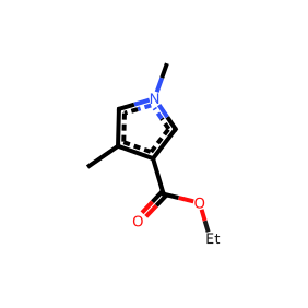 CCOC(=O)c1cn(C)cc1C